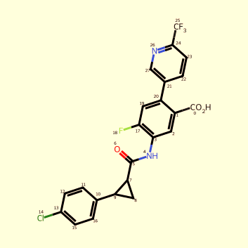 O=C(O)c1cc(NC(=O)C2CC2c2ccc(Cl)cc2)c(F)cc1-c1ccc(C(F)(F)F)nc1